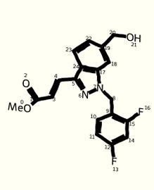 COC(=O)C=Cc1nn(Cc2ccc(F)cc2F)c2cc(CO)ccc12